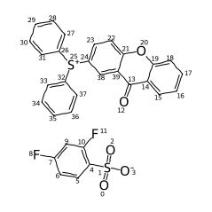 O=S(=O)([O-])c1ccc(F)cc1F.O=c1c2ccccc2oc2ccc([S+](c3ccccc3)c3ccccc3)cc12